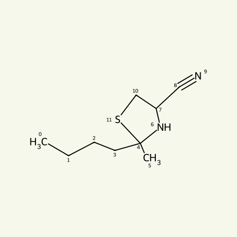 CCCCC1(C)NC(C#N)CS1